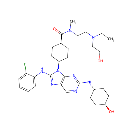 CCN(CCO)CCN(C)C(=O)[C@H]1CC[C@@H](n2c(Nc3ccccc3F)nc3cnc(N[C@H]4CC[C@H](O)CC4)nc32)CC1